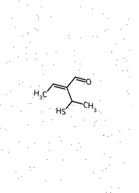 C/C=C(/C=O)C(C)S